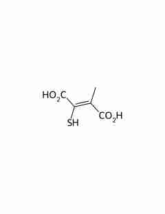 CC(C(=O)O)=C(S)C(=O)O